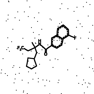 CC(CC1CCCC1)(CC(F)(F)F)NC(=O)c1ccc2c(F)cccc2c1